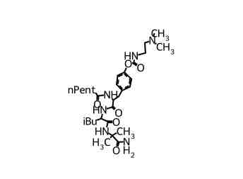 CCCCCC(=O)NC(Cc1ccc(OC(=O)NCCN(C)C)cc1)C(=O)NC(C(=O)NC(C)(C)C(N)=O)C(C)CC